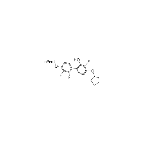 CCCCCOc1ccc(-c2ccc(OC3CCCC3)c(F)c2O)c(F)c1F